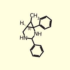 CC1[C@@H]2CNC(c3ccccc3)NC12c1ccccc1